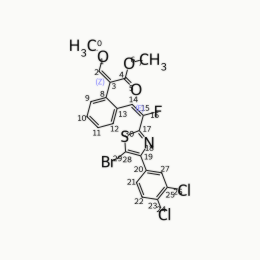 CO/C=C(\C(=O)OC)c1ccccc1/C=C(/F)c1nc(-c2ccc(Cl)c(Cl)c2)c(Br)s1